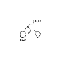 CCOC(=O)CCN(Cc1ccc(OC)cc1)C(=O)Cc1ccccc1